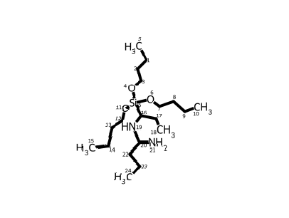 CCCCO[Si](OCCCC)(OCCCC)C(CC)NC(N)CCC